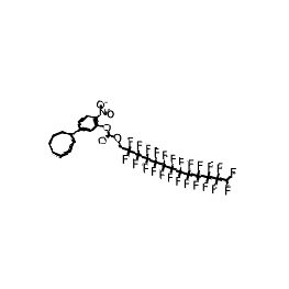 O=C(OCC(F)(F)C(F)(F)C(F)(F)C(F)(F)C(F)(F)C(F)(F)C(F)(F)C(F)(F)C(F)(F)C(F)(F)C(F)(F)C(F)F)Oc1cc(C2CCCCCCC2)ccc1[N+](=O)[O-]